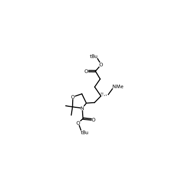 CNC[C@@H](CCC(=O)OC(C)(C)C)CC1COC(C)(C)N1C(=O)OC(C)(C)C